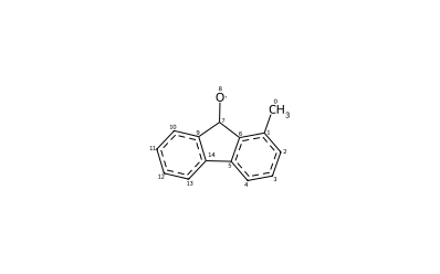 Cc1cccc2c1C([O])c1ccccc1-2